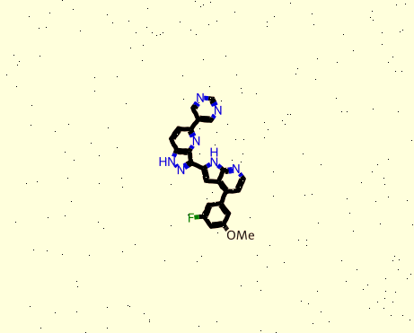 COc1cc(F)cc(-c2ccnc3[nH]c(-c4n[nH]c5ccc(-c6cncnc6)nc45)cc23)c1